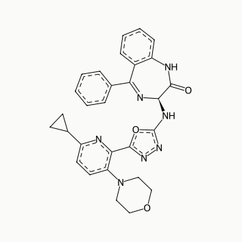 O=C1Nc2ccccc2C(c2ccccc2)=N[C@@H]1Nc1nnc(-c2nc(C3CC3)ccc2N2CCOCC2)o1